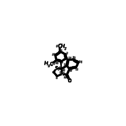 Cc1ccc([C@]23SCCN2C(=O)c2ccccc23)c(C)c1